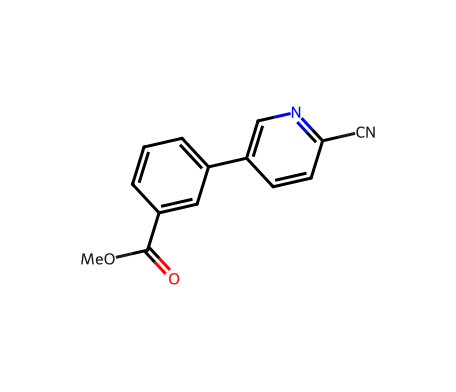 COC(=O)c1cccc(-c2ccc(C#N)nc2)c1